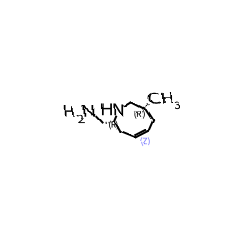 C[C@@H]1C/C=C\C[C@H](CN)NC1